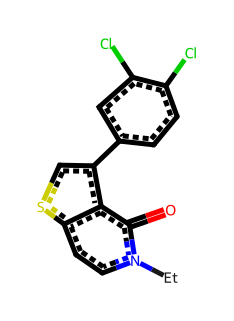 CCn1ccc2scc(-c3ccc(Cl)c(Cl)c3)c2c1=O